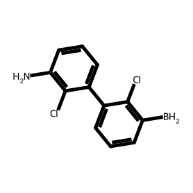 Bc1cccc(-c2cccc(N)c2Cl)c1Cl